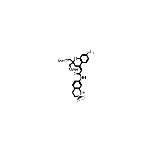 COCC1(COC)CC(=CC(=O)Nc2ccc3c(c2)NS(=O)(=O)CC3)c2ccc(C(F)(F)F)cc2O1